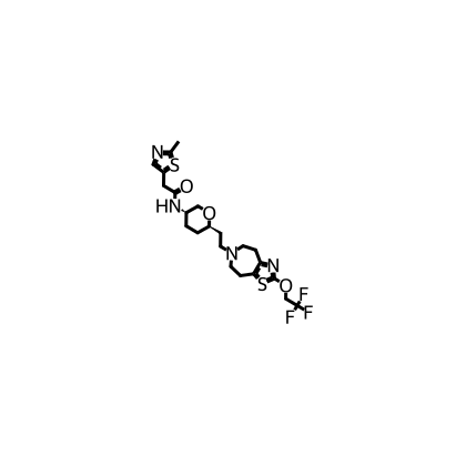 Cc1ncc(CC(=O)N[C@H]2CC[C@H](CCN3CCc4nc(OCC(F)(F)F)sc4CC3)OC2)s1